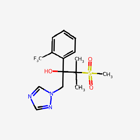 CC(C)(C(O)(Cn1cncn1)c1ccccc1C(F)(F)F)S(C)(=O)=O